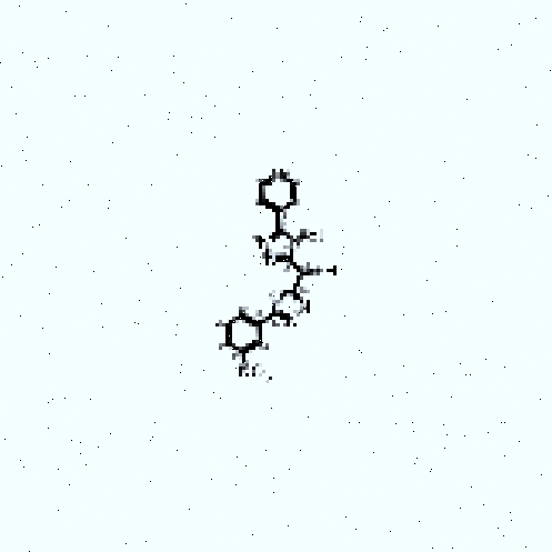 CCn1c(-c2ccncc2)nnc1C(S)c1nnc(-c2cccc([N+](=O)[O-])c2)o1